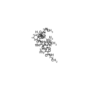 C=CCNC(=O)C(=O)C(CC1CC1)NC(=O)[C@@H]1[C@@H]2[C@H](CN1C(=O)[C@@H](NC(=O)[C@@H](NS(=O)(=O)/C(C)=N/C=N\C)C1(C)CCCCC1)C(C)(C)C)C2(C)C